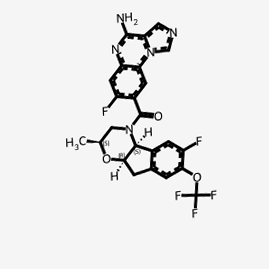 C[C@H]1CN(C(=O)c2cc3c(cc2F)nc(N)c2cncn23)[C@H]2c3cc(F)c(OC(F)(F)F)cc3C[C@H]2O1